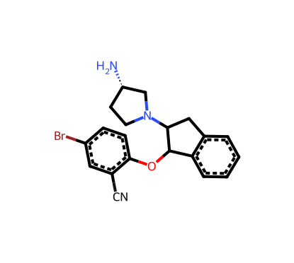 N#Cc1cc(Br)ccc1OC1c2ccccc2CC1N1CC[C@H](N)C1